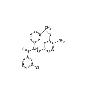 CC(Oc1cc(Cl)cnc1N)c1cccc(NC(=O)c2cccc(Cl)c2)c1